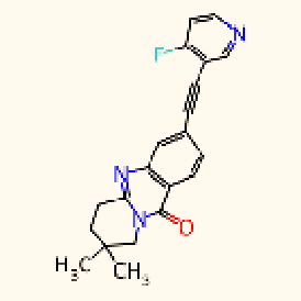 CC1(C)CCc2nc3cc(C#Cc4cnccc4F)ccc3c(=O)n2C1